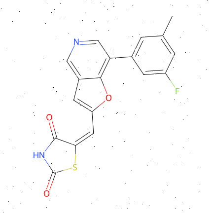 Cc1cc(F)cc(-c2cncc3cc(C=C4SC(=O)NC4=O)oc23)c1